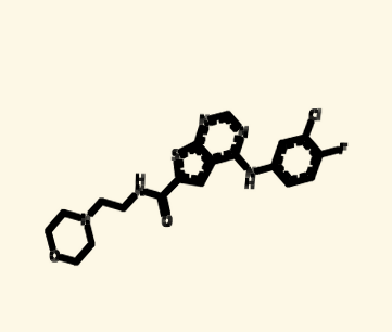 O=C(NCCN1CCOCC1)c1cc2c(Nc3ccc(F)c(Cl)c3)ncnc2s1